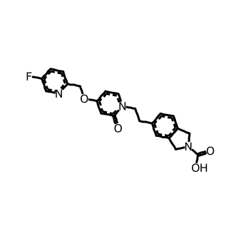 O=C(O)N1Cc2ccc(CCn3ccc(OCc4ccc(F)cn4)cc3=O)cc2C1